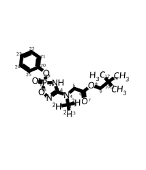 [2H]C([2H])([2H])N(CC(=O)OCC(C)(C)C)C1=NOP(=O)(Oc2ccccc2)N1